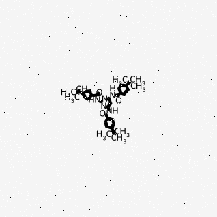 CC(C)(C)c1ccc(C(=O)Nc2cc(NC(=O)c3ccc(C(C)(C)C)cc3)nc(NC(=O)c3ccc(C(C)(C)C)cc3)n2)cc1